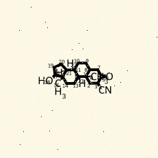 C[C@]12CC(C#N)C(=O)CC1CC[C@@H]1[C@H]2CC[C@]2(C)C(O)CC[C@@H]12